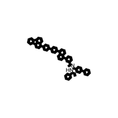 C=CC(NC(/N=C(\C)c1cccc(-c2cccc3c(-c4ccc(-c5ccc(-c6ccc7c8c(cccc68)-c6ccccc6-7)cc5)cc4)cccc23)c1)c1ccc(-c2ccccc2)cc1)c1ccccc1